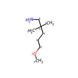 CO[CH]CCC(C)(C)CN